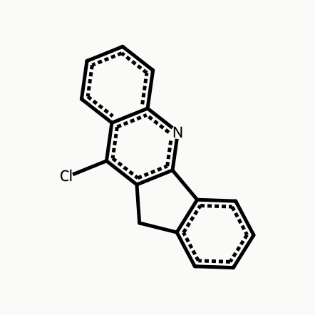 Clc1c2c(nc3ccccc13)-c1ccccc1C2